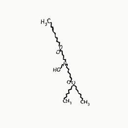 CCC/C=C/CCCCCCOC(=O)CCCCCN(CCO)CCCCCCCC(=O)OC(CCCCCCCC)CCCCCCCC